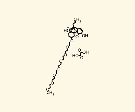 C=CCN1CC[C@]23c4c5ccc(O)c4OC2C(OCCOCCOCCOCCOCCOCCOCCOC)CC[C@@]3(O)[C@H]1C5.O=C(O)C(=O)O